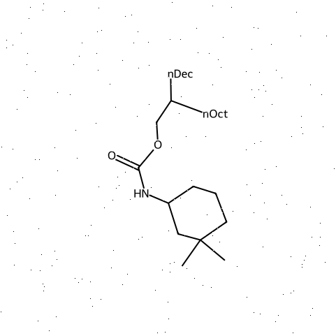 CCCCCCCCCCC(CCCCCCCC)COC(=O)NC1CCCC(C)(C)C1